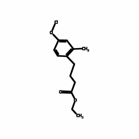 CCOC(=O)CCCc1ccc(OCl)cc1C